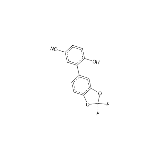 N#Cc1ccc(O)c(-c2ccc3c(c2)OC(F)(F)O3)c1